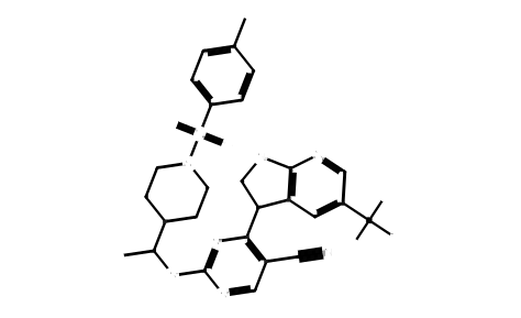 Cc1ccc(S(=O)(=O)N2CCC(C(C)Nc3ncc(C#N)c(C4CNc5ncc(C(F)(F)F)cc54)n3)CC2)cc1